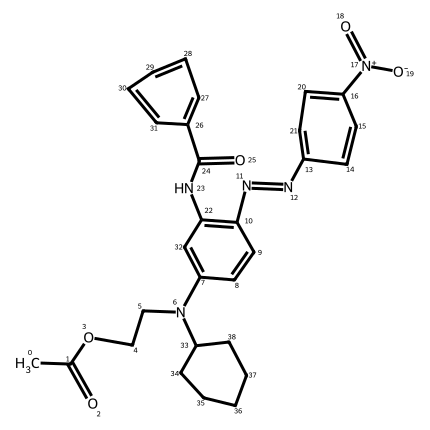 CC(=O)OCCN(c1ccc(N=Nc2ccc([N+](=O)[O-])cc2)c(NC(=O)c2ccccc2)c1)C1CCCCC1